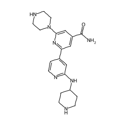 NC(=O)c1cc(-c2ccnc(NC3CCNCC3)c2)nc(N2CCNCC2)c1